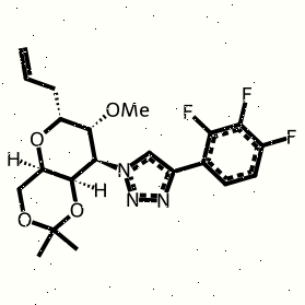 C=CC[C@H]1O[C@@H]2COC(C)(C)O[C@@H]2[C@H](n2cc(-c3ccc(F)c(F)c3F)nn2)[C@H]1OC